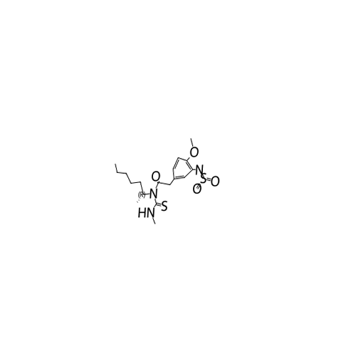 CCCCC[C@@H](C)N(C(=O)Cc1ccc(OC)c(N=S(=O)=O)c1)C(=S)NC